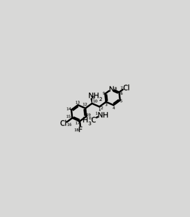 CN[C@@H](c1ccc(Cl)nc1)[C@H](N)c1ccc(Cl)c(F)c1